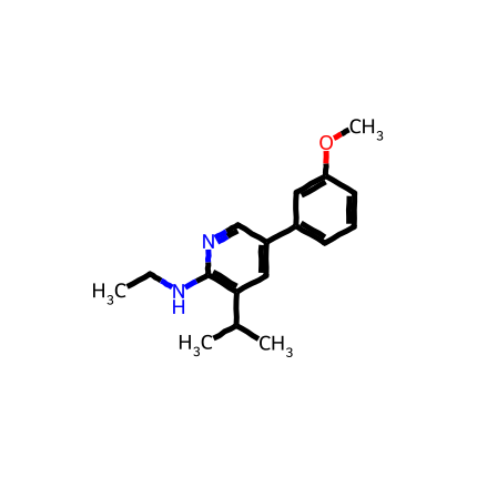 CCNc1ncc(-c2cccc(OC)c2)cc1C(C)C